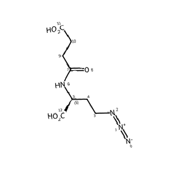 [N-]=[N+]=NCC[C@H](NC(=O)CCC(=O)O)C(=O)O